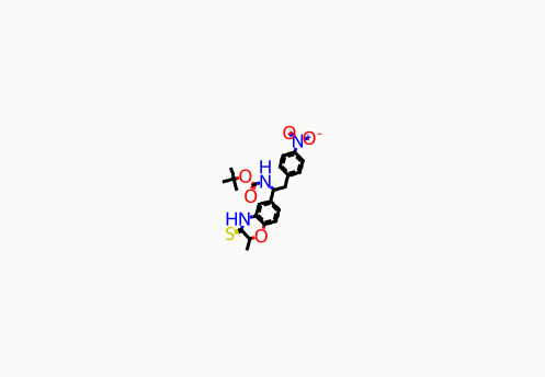 CC1Oc2ccc(C(Cc3ccc([N+](=O)[O-])cc3)NC(=O)OC(C)(C)C)cc2NC1=S